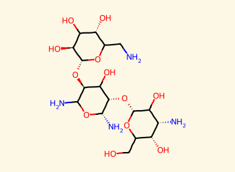 NCC1O[C@H](O[C@@H]2C(N)O[C@@H](N)[C@@H](O[C@H]3OC(CO)[C@@H](O)[C@@H](N)C3O)C2O)[C@@H](O)C(O)[C@@H]1O